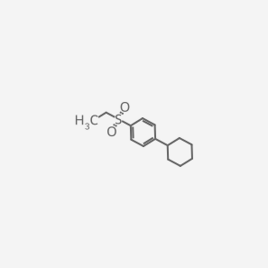 CCS(=O)(=O)c1ccc(C2CCCCC2)cc1